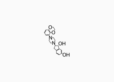 Oc1ccc2c(c1)C(O)C(N1CCN(c3cccc4c3OCCO4)CC1)C2